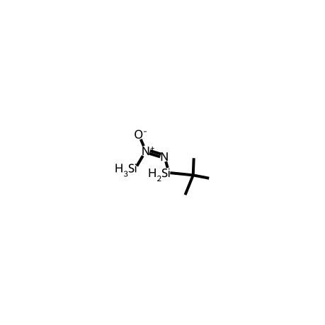 CC(C)(C)[SiH2]N=[N+]([O-])[SiH3]